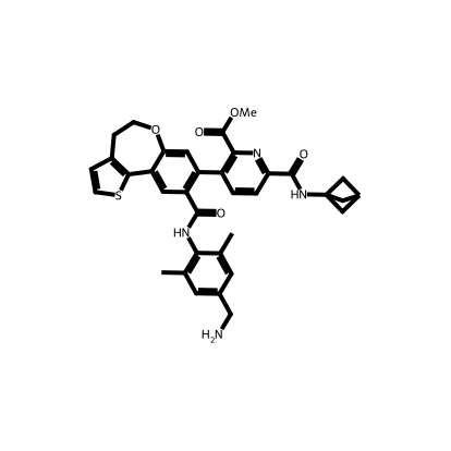 COC(=O)c1nc(C(=O)NC23CC(C2)C3)ccc1-c1cc2c(cc1C(=O)Nc1c(C)cc(CN)cc1C)-c1sccc1CCO2